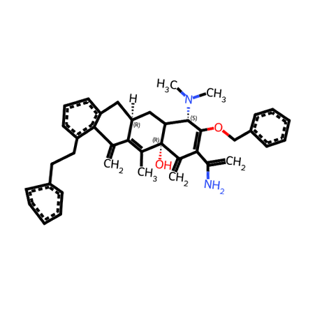 C=C(N)C1=C(OCc2ccccc2)[C@@H](N(C)C)C2C[C@@H]3Cc4cccc(CCc5ccccc5)c4C(=C)C3=C(C)[C@]2(O)C1=C